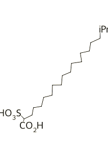 CC(C)CCCCCCCCCCCCCCCC(C(=O)O)S(=O)(=O)O